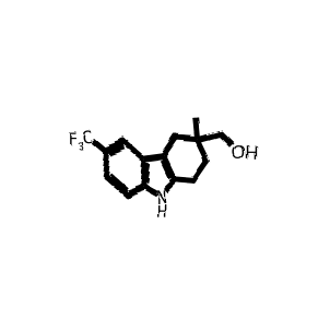 CC1(CO)CCc2[nH]c3ccc(C(F)(F)F)cc3c2C1